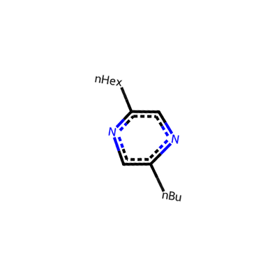 [CH2]CCCCCc1cnc(CCCC)cn1